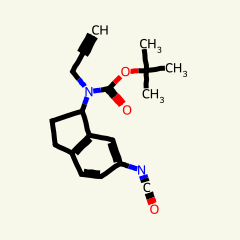 C#CCN(C(=O)OC(C)(C)C)C1CCc2ccc(N=C=O)cc21